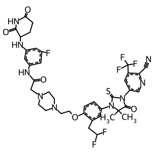 CC1(C)C(=O)N(c2cnc(C#N)c(C(F)(F)F)c2)C(=S)N1c1ccc(OCCN2CCN(CC(=O)Nc3cc(F)cc(NC4CCC(=O)NC4=O)c3)CC2)c(CC(F)F)c1